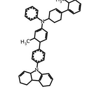 CC1CC=CC=C1C1=CCC(N(C2=CC(C)C(c3ccc(N4C5=C(CCC=C5)C5CCC=CC54)cc3)C=C2)c2ccccc2)CC1